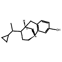 CC(C1CC1)C1CC[C@]23CCCCC2[C@H]1Cc1ccc(O)cc13